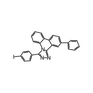 Ic1ccc(-c2nnc3c4cc(-c5ccccc5)ccc4c4ccccc4n23)cc1